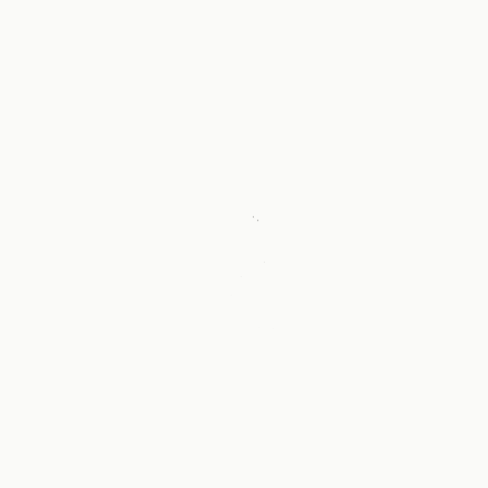 O=C(O)CC(O)(CC(=O)ONCCO)C(=O)O